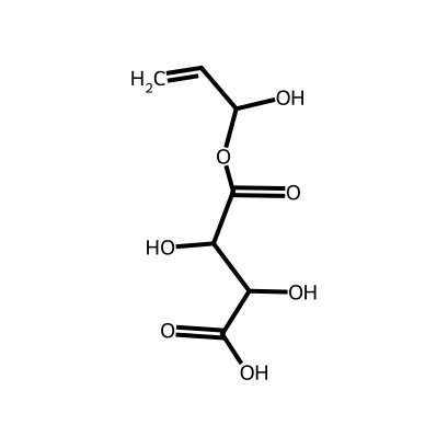 C=CC(O)OC(=O)C(O)C(O)C(=O)O